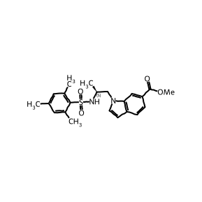 COC(=O)c1ccc2ccn(C[C@H](C)NS(=O)(=O)c3c(C)cc(C)cc3C)c2c1